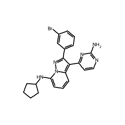 Nc1nccc(-c2c(-c3cccc(Br)c3)nn3c(NC4CCCC4)cccc23)n1